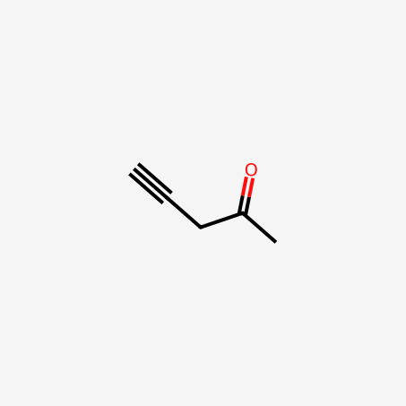 C#CCC(C)=O